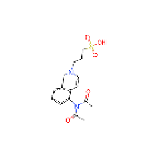 CC(=O)N(C(C)=O)c1cccc2c1C=CN(CCCS(=O)(=O)O)C2